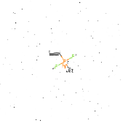 C=C[PH](F)(F)CC